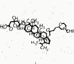 C=C(C)[C@@H]1CC[C@]2(CC(=O)CCC3CN(C)CCO3)CC[C@]3(C)[C@H](CC[C@@H]4[C@@]5(C)CC[C@H](OC(=O)CC(C)(C)CC(=O)O)C(C)(C)[C@@H]5CC[C@]43C)[C@@H]12